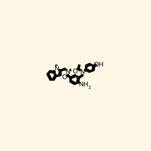 CC(=O)N(Cc1cc(C(=O)N(C)Cc2cc3ccccc3n2C)ccc1N)c1ccc(O)cc1